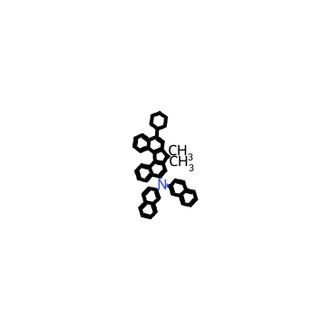 CC1(C)c2cc(C3CCCCC3)c3ccccc3c2-c2c1cc(N(c1ccc3ccccc3c1)c1ccc3ccccc3c1)c1ccccc21